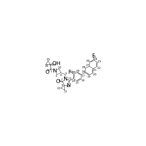 O=C(N1CC(CN2C(=O)C3(CC3)N=C2c2ccc(C3=CC=C4C=CC(F)=CC4C3)cc2F)C1)C1(O)CC1